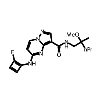 CCCC(C)(CNC(=O)c1cnn2ccc(NC3=C(F)C=C3)nc12)OC